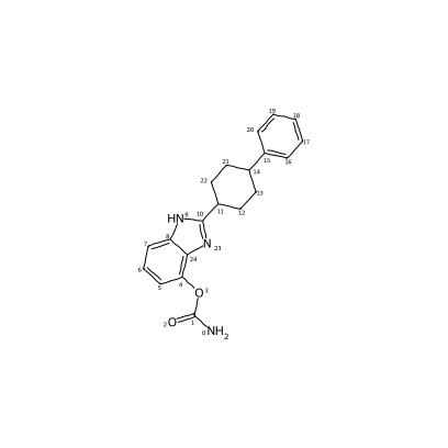 NC(=O)Oc1cccc2[nH]c(C3CCC(c4ccccc4)CC3)nc12